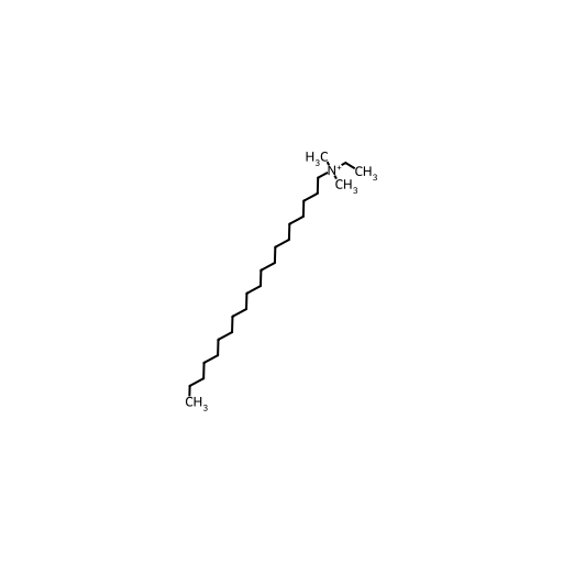 CCCCCCCCCCCCCCCCCCCC[N+](C)(C)CC